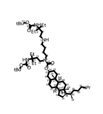 CCC(CC)(CCNCCCCN(CCC(CC)(CC)NC(=O)OC(C)(C)C)C(=O)O[C@H]1CC[C@@]2(C)C(=CC[C@H]3[C@@H]4CC[C@H]([C@H](C)CCCC(C)C)[C@@]4(C)CC[C@@H]32)C1)NC(=O)OC(C)(C)C